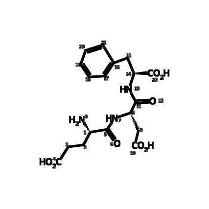 N[C@@H](CCC(=O)O)C(=O)N[C@@H](CC(=O)O)C(=O)N[C@@H](Cc1ccccc1)C(=O)O